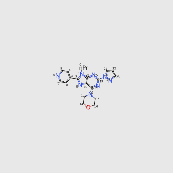 CCCn1c(-c2ccncc2)nc2c(N3CCOCC3)nc(-n3cccn3)nc21